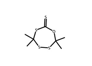 CC1(C)OC(=S)SC(C)(C)SS1